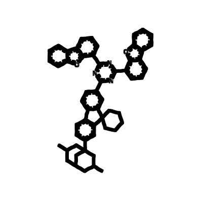 CC1CC2CC(C)CC(c3ccc4c(c3)C3(CCCCC3)c3cc(-c5nc(-c6cccc7c6oc6ccccc67)nc(-c6cccc7c6oc6ccccc67)n5)ccc3-4)(C1)C2